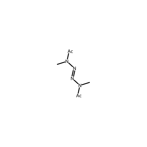 CC(=O)N(C)N=NN(C)C(C)=O